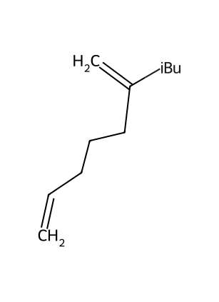 C=CCCCC(=C)C(C)CC